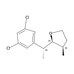 C[C@@H]1CCO[C@@H]1[C@H](C)c1cc(Cl)cc(Cl)c1